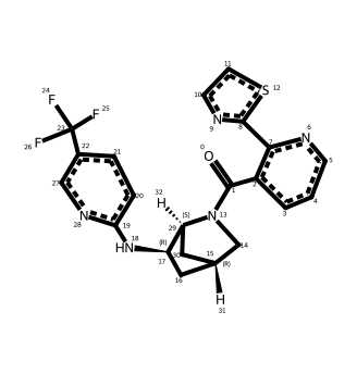 O=C(c1cccnc1-c1nccs1)N1C[C@@H]2C[C@@H](Nc3ccc(C(F)(F)F)cn3)[C@@H]1C2